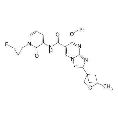 CC(C)Oc1nc2nc(C34COC(C)(C3)C4)cn2cc1C(=O)Nc1cccn(C2CC2F)c1=O